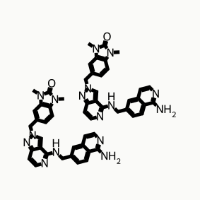 Cn1c(=O)n(C)c2cc(Cn3cc4c(NCc5ccc6c(N)nccc6c5)nccc4n3)ccc21.Cn1c(=O)n(C)c2cc(Cn3cc4c(NCc5ccc6c(N)nccc6c5)nccc4n3)ccc21